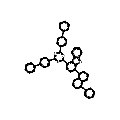 c1ccc(-c2ccc(-c3nc(-c4ccc(-c5ccccc5)cc4)nc(-c4ccc(-c5cccc6c(-c7ccccc7)cccc56)c5oc6ccccc6c45)n3)cc2)cc1